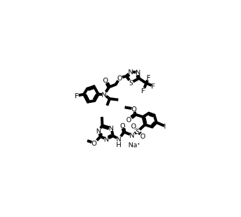 CC(C)N(C(=O)COc1nnc(C(F)(F)F)s1)c1ccc(F)cc1.COC(=O)c1ccc(I)cc1S(=O)(=O)[N-]C(=O)Nc1nc(C)nc(OC)n1.[Na+]